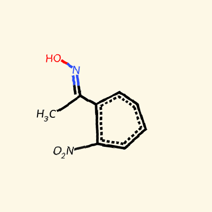 C/C(=N\O)c1ccccc1[N+](=O)[O-]